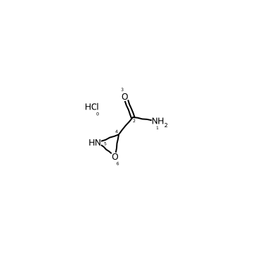 Cl.NC(=O)C1NO1